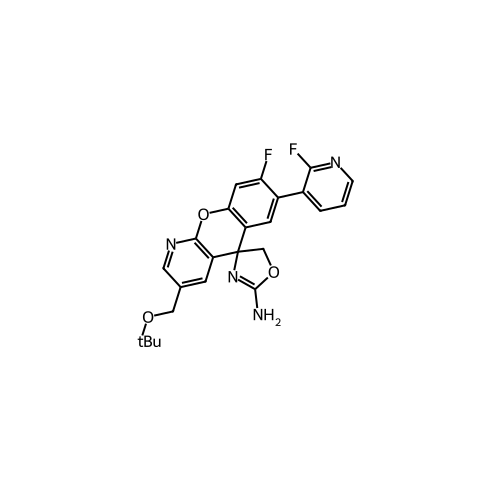 CC(C)(C)OCc1cnc2c(c1)C1(COC(N)=N1)c1cc(-c3cccnc3F)c(F)cc1O2